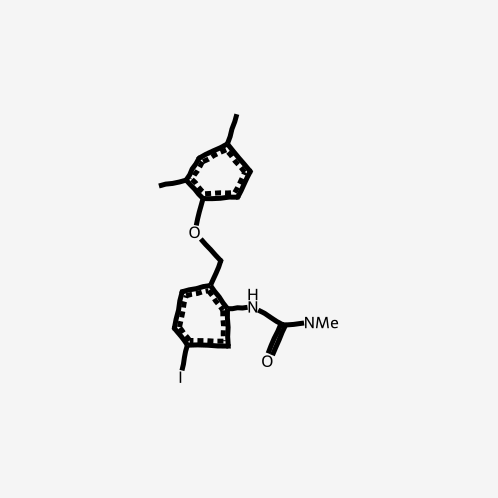 CNC(=O)Nc1cc(I)ccc1COc1ccc(C)cc1C